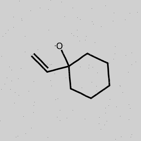 C=CC1([O])CCCCC1